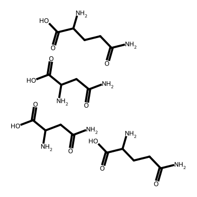 NC(=O)CC(N)C(=O)O.NC(=O)CC(N)C(=O)O.NC(=O)CCC(N)C(=O)O.NC(=O)CCC(N)C(=O)O